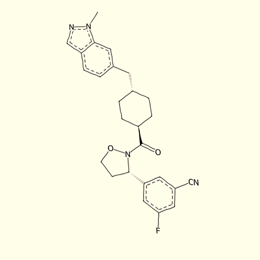 Cn1ncc2ccc(C[C@H]3CC[C@H](C(=O)N4OCC[C@H]4c4cc(F)cc(C#N)c4)CC3)cc21